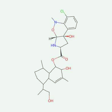 CC1=CC2C(C(C)CO)CCC(C)C2C(OC(=O)[C@@H]2C[C@@]3(O)c4cccc(Cl)c4N(C)O[C@H]3N2)C1O